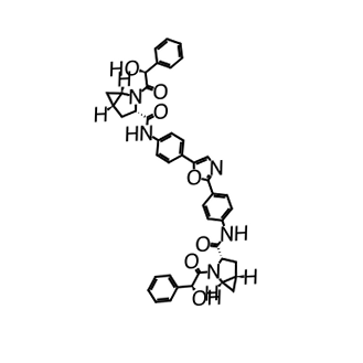 O=C(Nc1ccc(-c2cnc(-c3ccc(NC(=O)[C@@H]4C[C@@H]5C[C@@H]5N4C(=O)[C@@H](O)c4ccccc4)cc3)o2)cc1)[C@@H]1C[C@@H]2C[C@@H]2N1C(=O)[C@@H](O)c1ccccc1